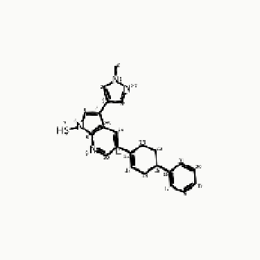 Cn1cc(-c2cn(S)c3ncc(C4=CCC(c5ccccc5)CC4)cc23)cn1